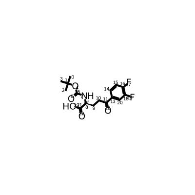 CC(C)(C)OC(=O)N[C@@H](CCC(=O)c1ccc(F)c(F)c1)C(=O)O